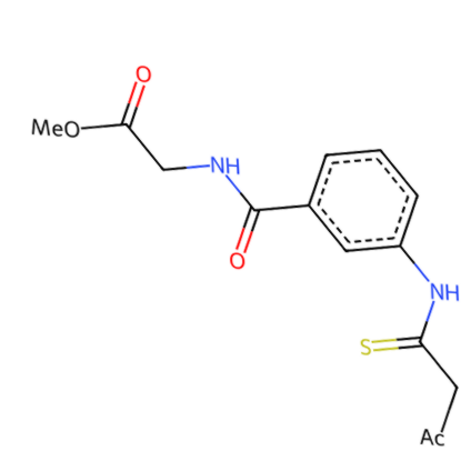 COC(=O)CNC(=O)c1cccc(NC(=S)CC(C)=O)c1